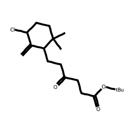 C=C1C(Cl)CCC(C)(C)C1CCC(=O)CCC(=O)OC(C)(C)C